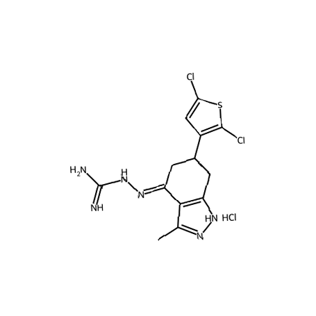 Cc1n[nH]c2c1C(=NNC(=N)N)CC(c1cc(Cl)sc1Cl)C2.Cl